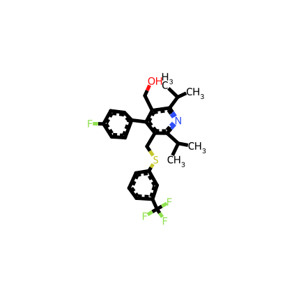 CC(C)c1nc(C(C)C)c(CSc2cccc(C(F)(F)F)c2)c(-c2ccc(F)cc2)c1CO